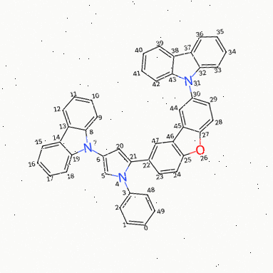 c1ccc(-n2cc(-n3c4ccccc4c4ccccc43)cc2-c2ccc3oc4ccc(-n5c6ccccc6c6ccccc65)cc4c3c2)cc1